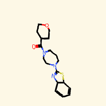 O=C(C1CCOCC1)N1CCCN(C2=NC3C=CC=CC3S2)CC1